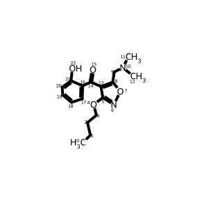 CCCCOc1noc(CN(C)C)c1C(=O)c1ccccc1O